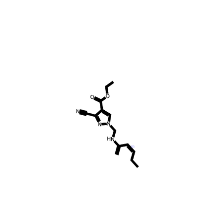 C=C(/C=C\CC)NCn1cc(C(=O)OCC)c(C#N)n1